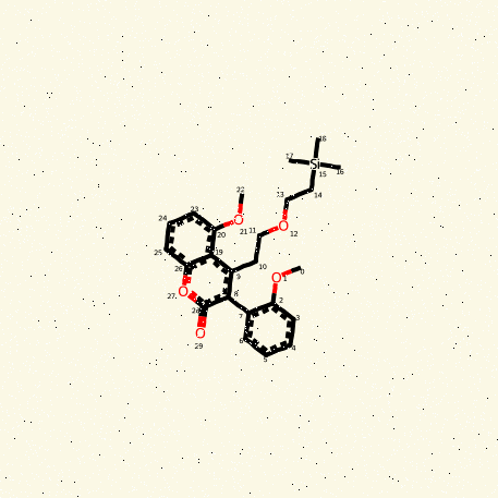 COc1ccccc1-c1c(CCOCC[Si](C)(C)C)c2c(OC)cccc2oc1=O